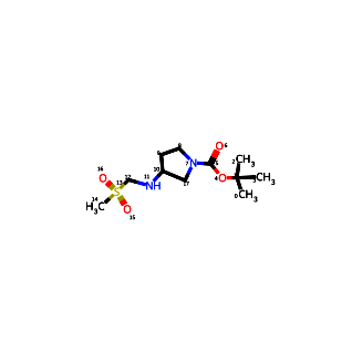 CC(C)(C)OC(=O)N1CCC(NCS(C)(=O)=O)C1